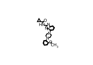 COc1ccccc1N1CCN(c2cccc3nc(NC(=O)C4CC4)nn23)CC1